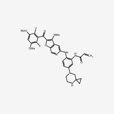 C=CC(=O)Nc1cc(N2CCNC3(CC3)C2)ccc1Nc1cc2c(NC)c(C(=O)c3c(F)c(OC)cc(OC)c3F)oc2cn1